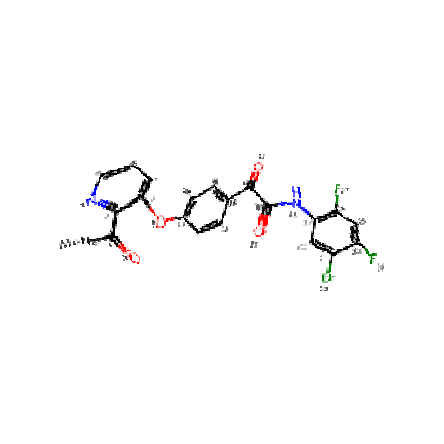 CNC(=O)c1ncccc1Oc1ccc(C(=O)C(=O)Nc2cc(Br)c(F)cc2F)cc1